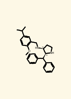 COc1ccc(C(C)C)cc1CN[C@H]1CCN[C@H]1C(c1ccccc1)c1ccccc1